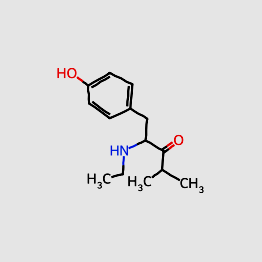 CCNC(Cc1ccc(O)cc1)C(=O)C(C)C